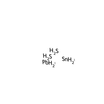 S.S.[PbH2].[SnH2]